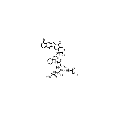 CC[C@@]1(OC(=O)CC2(CNC(=O)[C@H](CCCNC(N)=O)NC(=O)[C@@H](NC(=O)OC(C)(C)C)C(C)C)CCCCC2)C(=O)OCc2c1cc1n(c2=O)Cc2cc3c(Br)cccc3nc2-1